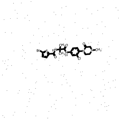 CN1CCN(c2ccc(NC(=O)C(C)(C)NC(=O)c3ccc(Br)s3)cc2Cl)C(=O)C1